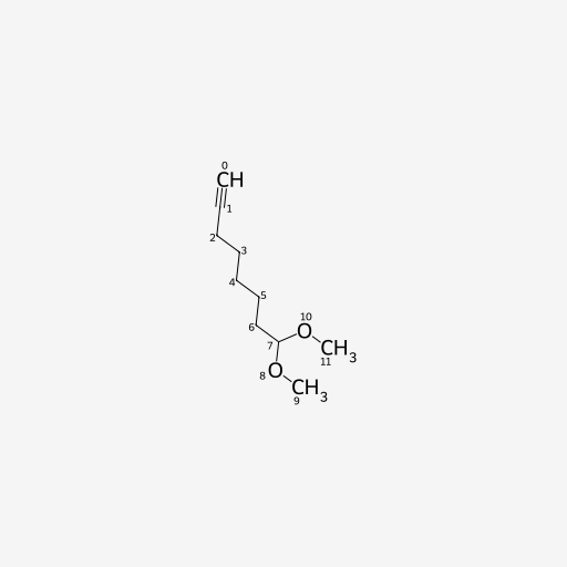 C#CCCCCCC(OC)OC